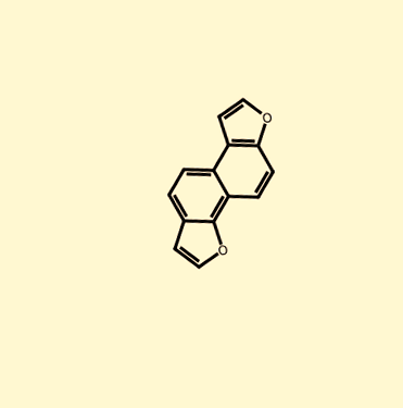 c1cc2c(ccc3c2ccc2ccoc23)o1